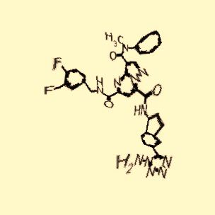 CN(C(=O)c1cnn2c(C(=O)N[C@H]3CCc4cc(-c5nnnn5N)ccc43)cc(C(=O)NCc3ccc(F)c(F)c3)nc12)c1ccccc1